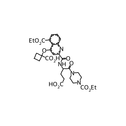 CCOC(=O)c1cccc2nc(C(=O)NC(CCC(=O)O)C(=O)N3CCN(C(=O)OCC)CC3)cc(OC3(C(=O)O)CCC3)c12